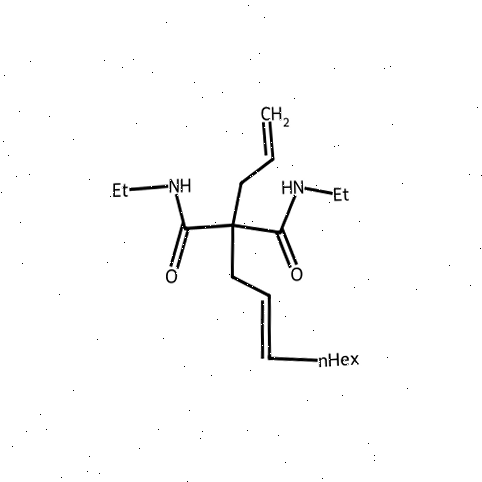 C=CCC(CC=CCCCCCC)(C(=O)NCC)C(=O)NCC